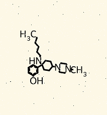 CCCCCCNC1(c2cccc(O)c2)CCC(N2CCN(C)CC2)CC1